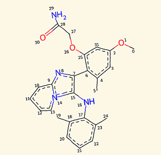 COc1cc(C)c(-c2nc3ccccn3c2Nc2c(C)cccc2C)c(OCC(N)=O)c1